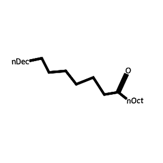 CCCCCCCCCCCCCCCCC(=O)CCCCCCCC